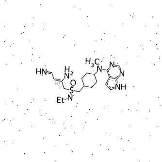 CCN=S(=O)(C/C(N)=C/C=N)CC1CCC(N(C)c2ncnc3[nH]ccc23)CC1